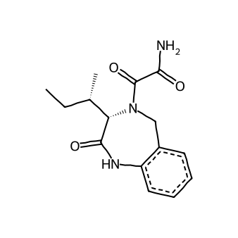 CC[C@H](C)[C@H]1C(=O)Nc2ccccc2CN1C(=O)C(N)=O